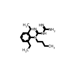 CCCCN(C(=N)NC(=N)N)c1c(CC)cccc1CC